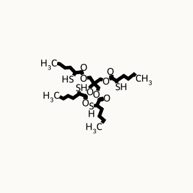 CCCCC(S)C(=O)OCC(COC(=O)C(S)CCCC)(COC(=O)C(S)CCCC)COC(=O)C(S)CCCC